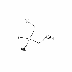 N#CC(F)(CO)CO